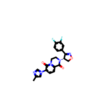 Cc1cn(-c2ccc3n(c2=O)CCN([C@H]2CON=C2c2ccc(F)c(F)c2)C3=O)cn1